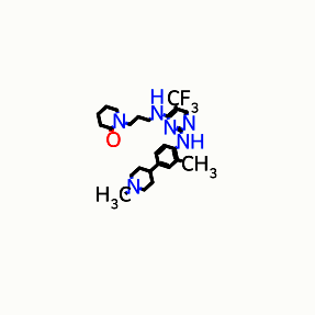 Cc1cc(C2CCN(C)CC2)ccc1Nc1ncc(C(F)(F)F)c(NCCCN2CCCCC2=O)n1